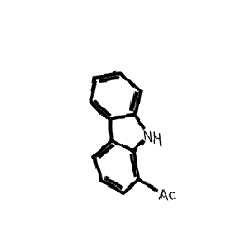 CC(=O)c1cccc2c1[nH]c1ccccc12